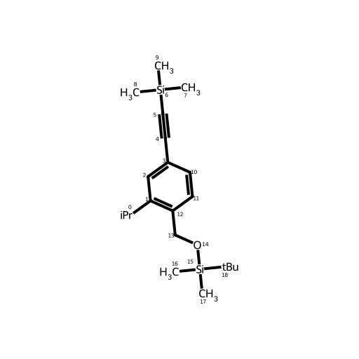 CC(C)c1cc(C#C[Si](C)(C)C)ccc1CO[Si](C)(C)C(C)(C)C